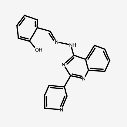 Oc1ccccc1/C=N/Nc1nc(-c2cccnc2)nc2ccccc12